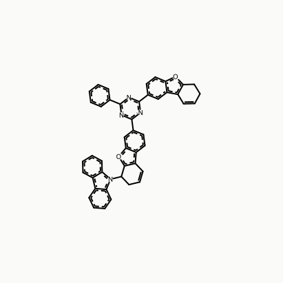 C1=Cc2c(oc3ccc(-c4nc(-c5ccccc5)nc(-c5ccc6c7c(oc6c5)C(n5c6ccccc6c6ccccc65)CC=C7)n4)cc23)CC1